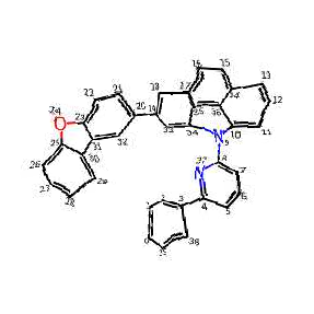 c1ccc(-c2cccc(-n3c4cccc5ccc6cc(-c7ccc8oc9ccccc9c8c7)cc3c6c54)n2)cc1